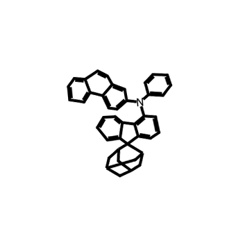 c1ccc(N(c2ccc3c(ccc4ccccc43)c2)c2cccc3c2-c2ccccc2C32C3CC4CC(C3)CC2C4)cc1